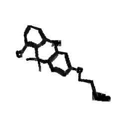 CNCCOc1ccc2c(c1)Nc1cccc(Cl)c1C2(C)C